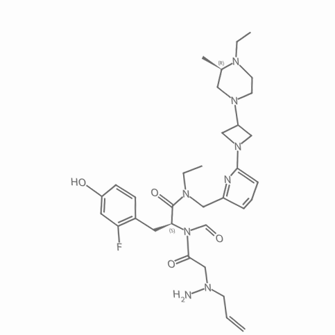 C=CCN(N)CC(=O)N(C=O)[C@@H](Cc1ccc(O)cc1F)C(=O)N(CC)Cc1cccc(N2CC(N3CCN(CC)[C@H](C)C3)C2)n1